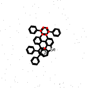 c1ccc(-c2ccccc2-c2cccc(-c3nnnc(-c4ccccc4)c3-c3ccccc3)c2-c2c(-c3ccccc3-c3ccccc3)ccc3[se]c4ccccc4c23)cc1